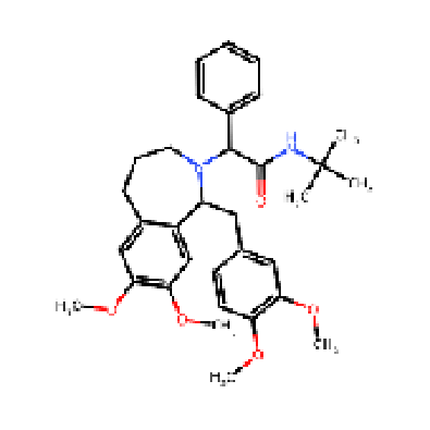 COc1ccc(CC2c3cc(OC)c(OC)cc3CCCN2C(C(=O)NC(C)(C)C)c2ccccc2)cc1OC